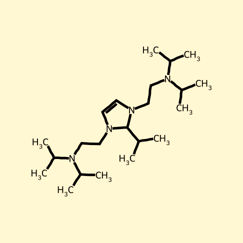 CC(C)C1N(CCN(C(C)C)C(C)C)C=CN1CCN(C(C)C)C(C)C